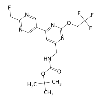 CC(C)(C)OC(=O)NCc1cc(-c2cnc(CF)nc2)nc(OCC(F)(F)F)n1